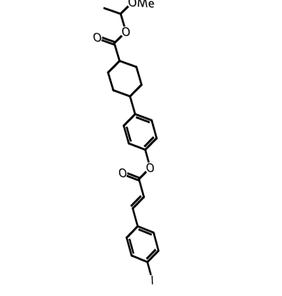 COC(C)OC(=O)C1CCC(c2ccc(OC(=O)/C=C/c3ccc(I)cc3)cc2)CC1